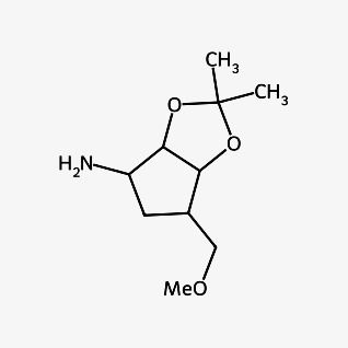 COCC1CC(N)C2OC(C)(C)OC12